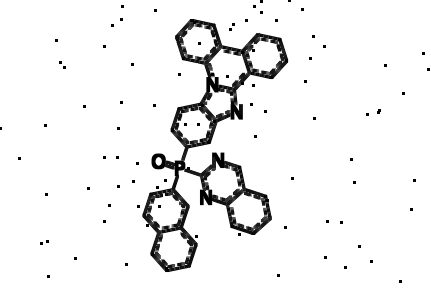 O=P(c1ccc2ccccc2c1)(c1ccc2c(c1)nc1c3ccccc3c3ccccc3n21)c1ncc2ccccc2n1